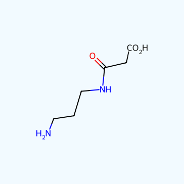 NCCCNC(=O)CC(=O)O